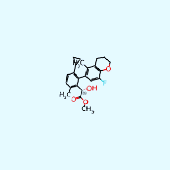 COC(=O)[C@@H](O)c1c(C)ccc(C2CC2)c1-c1cc(F)c2c(c1C)CCCO2